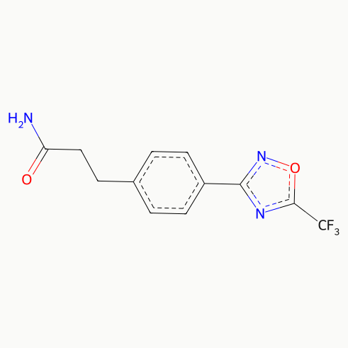 NC(=O)CCc1ccc(-c2noc(C(F)(F)F)n2)cc1